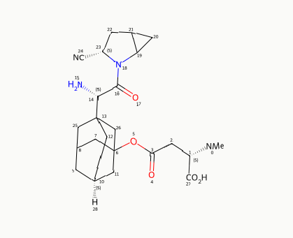 CN[C@@H](CC(=O)OC12CC3C[C@H](C1)CC([C@H](N)C(=O)N1C4CC4C[C@H]1C#N)(C3)C2)C(=O)O